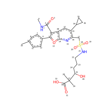 CNC(=O)c1c(-c2ccc(C)cc2)oc2nc(CS(=O)(=O)NCCCC(O)C(C)(C)C(=O)O)c(C3CC3)cc12